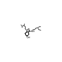 CCN(CC)CCCNc1nn(CCC(C)N(C)C)c2ccc(O)cc12